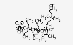 C=C(C)C(=O)[O-].C=CC[N+](C)(C)CC=C.C=CC[N+](C)(C)CC=C.C=CC[N+](C)(C)CC=C.COS(=O)(=O)[O-].[Cl-]